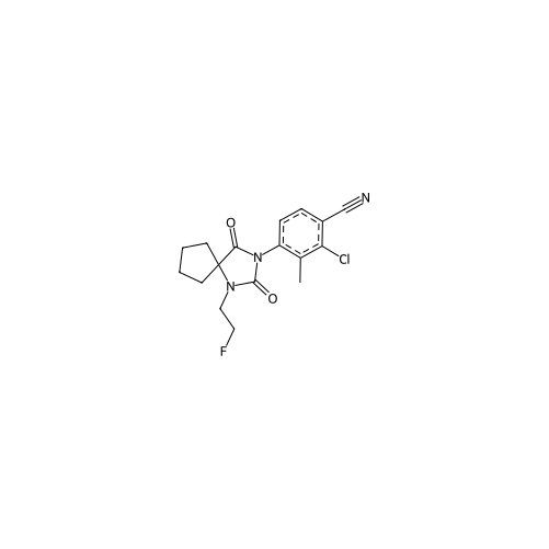 Cc1c(N2C(=O)N(CCF)C3(CCCC3)C2=O)ccc(C#N)c1Cl